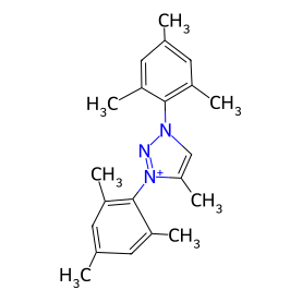 Cc1cc(C)c(-n2cc(C)[n+](-c3c(C)cc(C)cc3C)n2)c(C)c1